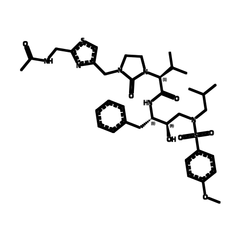 COc1ccc(S(=O)(=O)N(CC(C)C)C[C@@H](O)[C@H](Cc2ccccc2)NC(=O)[C@H](C(C)C)N2CCN(Cc3csc(CNC(C)=O)n3)C2=O)cc1